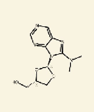 CN(C)c1nc2cncnc2n1[C@H]1OC[C@H](CO)O1